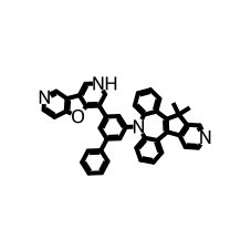 CC1(C)C2=C(c3ccccc3N(c3cc(C4=c5oc6ccncc6c5=CNC4)cc(-c4ccccc4)c3)c3ccccc32)c2ccncc21